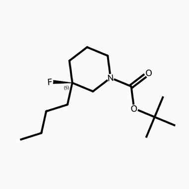 CCCC[C@]1(F)CCCN(C(=O)OC(C)(C)C)C1